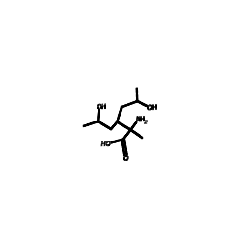 CC(O)CC(CC(C)O)C(C)(N)C(=O)O